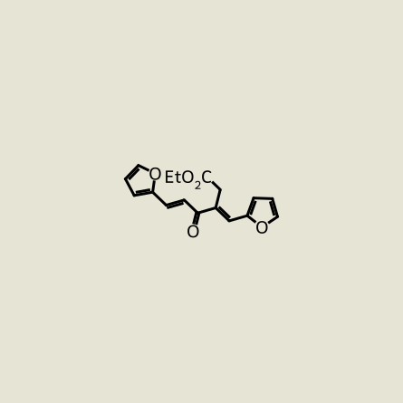 CCOC(=O)C/C(=C\c1ccco1)C(=O)/C=C/c1ccco1